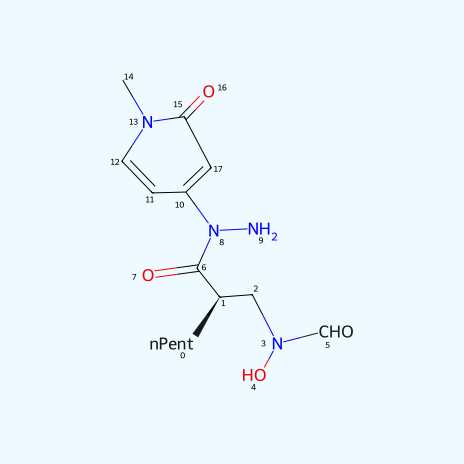 CCCCC[C@H](CN(O)C=O)C(=O)N(N)c1ccn(C)c(=O)c1